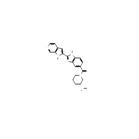 CCn1c(-c2nc3cc(C(=O)N4CCC[C@@H](N(C(=O)O)C(C)(C)C)C4)ccc3n2C)cc2ccncc21